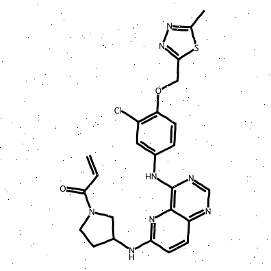 C=CC(=O)N1CCC(Nc2ccc3ncnc(Nc4ccc(OCc5nnc(C)s5)c(Cl)c4)c3n2)C1